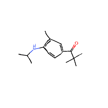 Cc1cc(C(=O)C(C)(C)C)ccc1NC(C)C